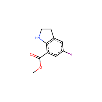 COC(=O)c1cc(I)cc2c1NCC2